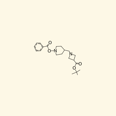 CC(C)(C)OC(=O)C1CN(CC2CCN(OC(=O)c3ccccc3)CC2)C1